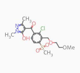 COCCOCc1c(S(C)(=O)=O)ccc(C(=O)c2c(C)nn(C)c2O)c1Cl